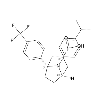 CC(C)c1ccc(N2[C@@H]3CC[C@@]2(c2ccc(C(F)(F)F)cc2)C[C@H](C(=O)O)C3)cc1